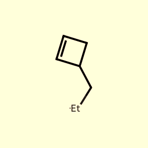 C[CH]CC1C=CC1